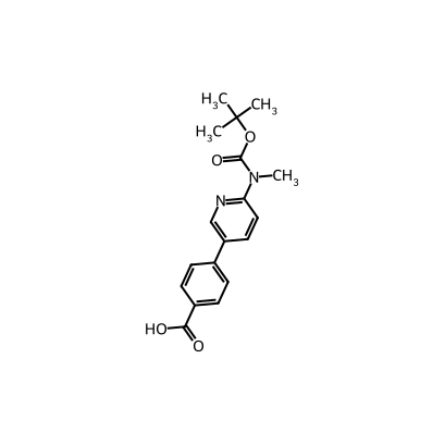 CN(C(=O)OC(C)(C)C)c1ccc(-c2ccc(C(=O)O)cc2)cn1